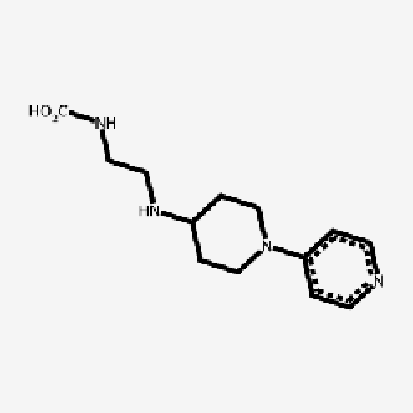 O=C(O)NCCNC1CCN(c2ccncc2)CC1